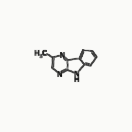 Cc1cnc2[nH]c3ccccc3c2n1